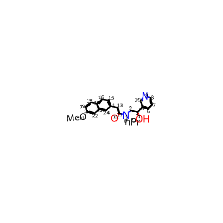 CCCN(CC(O)c1cccnc1)C(=O)Cc1ccc2ccc(OC)cc2c1